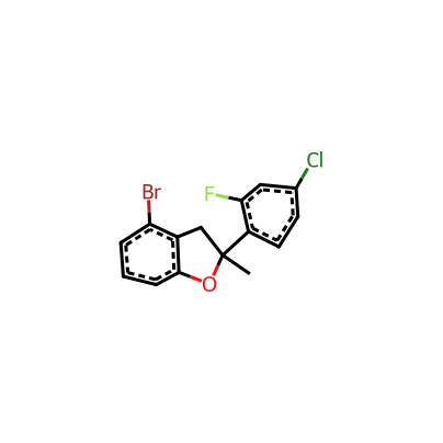 CC1(c2ccc(Cl)cc2F)Cc2c(Br)cccc2O1